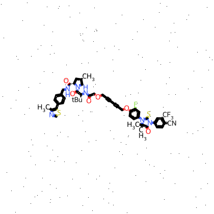 Cc1ncsc1-c1ccc(CNC(=O)[C@@H]2C[C@@H](C)CN2C(=O)[C@@H](NC(=O)COCC#CC#CCOc2ccc(N3C(=S)N(c4ccc(C#N)c(C(F)(F)F)c4)C(=O)C3(C)C)cc2F)C(C)(C)C)cc1